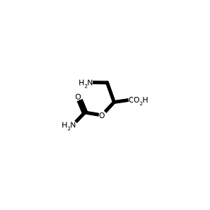 NCC(OC(N)=O)C(=O)O